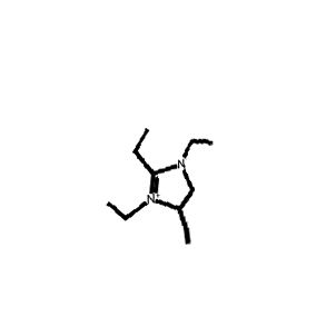 CCC1=[N+](CC)C(C)CN1CC